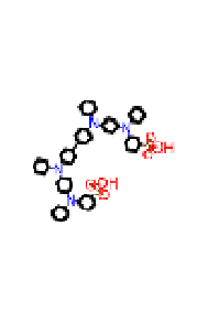 O=S(=O)(O)c1cccc(N(c2ccccc2)c2ccc(N(c3ccccc3)c3ccc(-c4ccc(N(c5ccccc5)c5ccc(N(c6ccccc6)c6cccc(S(=O)(=O)O)c6)cc5)cc4)cc3)cc2)c1